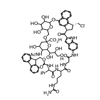 CC(=O)NC1C(O)CC(OCC2OC(Oc3cc4c(c5ccccc35)[C@H](CCl)CC4C(=O)c3cc4cc(NC(=O)CNC(=O)C(CCCNC(N)=O)NC(=O)C(NC(=O)OCC5c6ccccc6-c6ccccc65)C(C)C)ccc4[nH]3)C(O)C(O)C2O)(C(=O)O)OC1C(O)C(O)CO